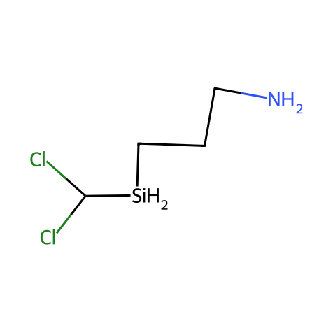 NCCC[SiH2]C(Cl)Cl